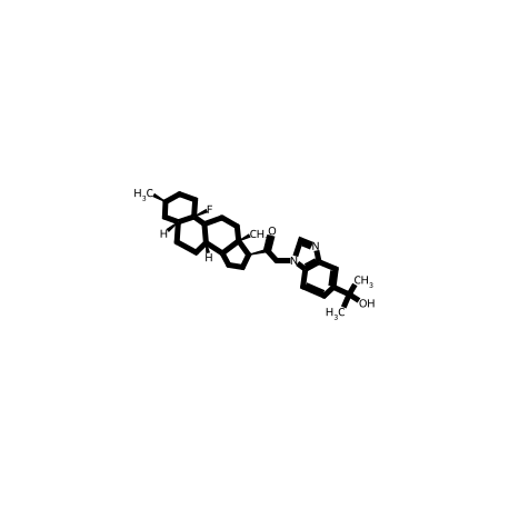 C[C@H]1CC[C@]2(F)C3CC[C@@]4(C)C(CC[C@@H]4C(=O)Cn4cnc5cc(C(C)(C)O)ccc54)[C@@H]3CC[C@@H]2C1